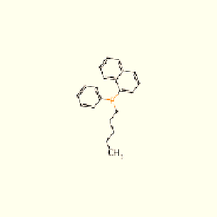 CCCCCP(c1ccccc1)c1cccc2ccccc12